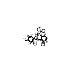 COC(=O)Nc1cccc(Cl)c1COc1ccc(C)cc1Cl